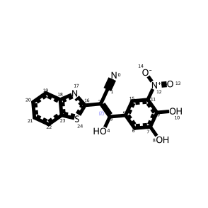 N#C/C(=C(/O)c1cc(O)c(O)c([N+](=O)[O-])c1)c1nc2ccccc2s1